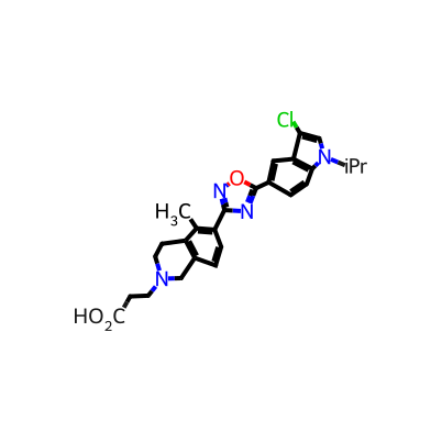 Cc1c(-c2noc(-c3ccc4c(c3)c(Cl)cn4C(C)C)n2)ccc2c1CCN(CCC(=O)O)C2